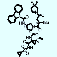 C=C[C@@H]1C[C@]1(NC(=O)[C@@H]1C[C@@H](NC(=O)n2c3ccccc3c3ccccc32)CN1C(=O)[C@@H](CC(=O)N1CCC(F)(F)C1)C(C)(C)C)C(=O)NS(=O)(=O)C1CC1